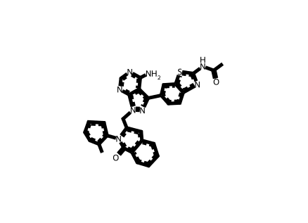 CC(=O)Nc1nc2ccc(-c3nn(Cc4cc5ccccc5c(=O)n4-c4ccccc4C)c4ncnc(N)c34)cc2s1